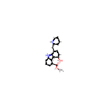 COC(=O)c1cccc2[nH]c3c(Cc4ccccn4)ccc(O)c3c12